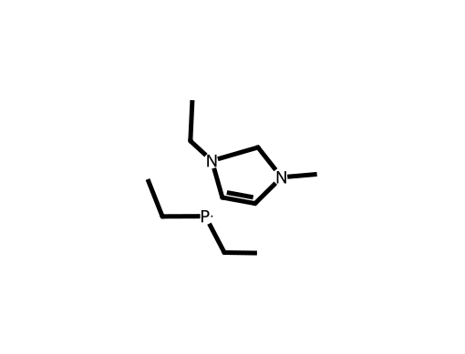 CCN1C=CN(C)C1.CC[P]CC